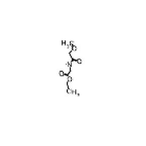 CCOC(=O)C[N]C(=O)COC